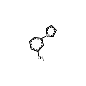 Cc1cccc(-n2cccc2)c1